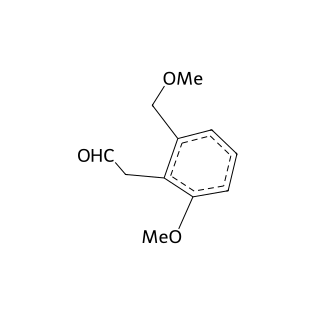 COCc1cccc(OC)c1CC=O